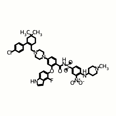 CN1CCC(Nc2ccc(S(=O)(=O)NC(=O)c3ccc(N4CCN(CC5=C(c6ccc(Cl)cc6)CC(C)(C)CC5)CC4)cc3Oc3ccc4[nH]ccc4c3F)cc2[N+](=O)[O-])CC1